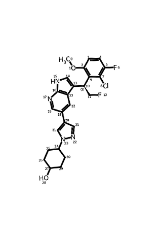 COc1ccc(F)c(Cl)c1[C@@H](CF)c1c[nH]c2ncc(-c3cnn(C4CCC(O)CC4)c3)cc12